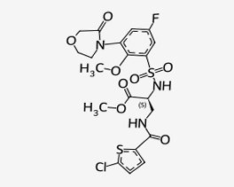 COC(=O)[C@H](CNC(=O)c1ccc(Cl)s1)NS(=O)(=O)c1cc(F)cc(N2CCOCC2=O)c1OC